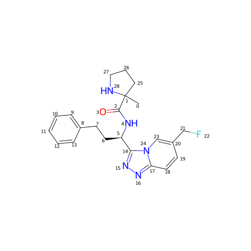 CC1(C(=O)N[C@H](CCc2ccccc2)c2nnc3ccc(CF)cn23)CCCN1